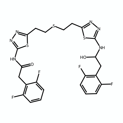 O=C(Cc1c(F)cccc1F)Nc1nnc(CCSCCc2nnc(NC(O)Cc3c(F)cccc3F)s2)s1